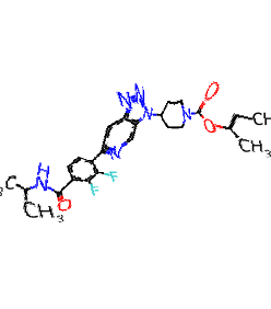 CC[C@@H](C)OC(=O)N1CCC(n2nnc3cc(-c4ccc(C(=O)NC(C)C)c(F)c4F)ncc32)CC1